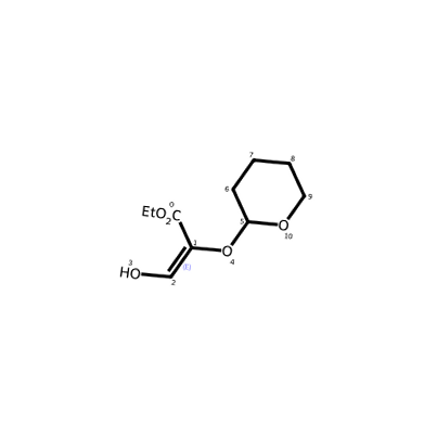 CCOC(=O)/C(=C\O)OC1CCCCO1